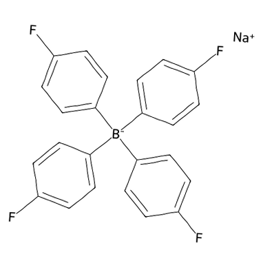 Fc1ccc([B-](c2ccc(F)cc2)(c2ccc(F)cc2)c2ccc(F)cc2)cc1.[Na+]